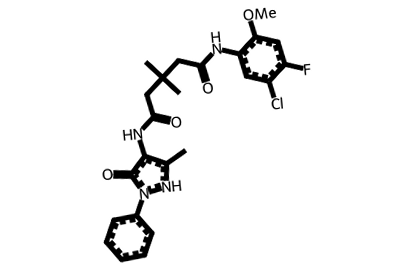 COc1cc(F)c(Cl)cc1NC(=O)CC(C)(C)CC(=O)Nc1c(C)[nH]n(-c2ccccc2)c1=O